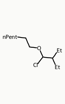 CCCCCCCOC(Cl)C(CC)CC